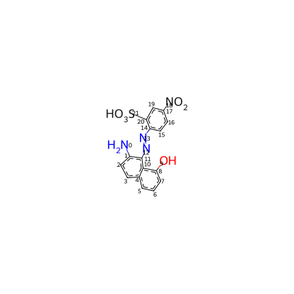 Nc1ccc2cccc(O)c2c1N=Nc1ccc([N+](=O)[O-])cc1S(=O)(=O)O